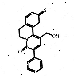 O=c1c(-c2ccccc2)cc(CO)c2n1CCC1=C2CC(=S)C=C1